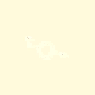 NOc1ccc([N+](=O)[O-])cc1